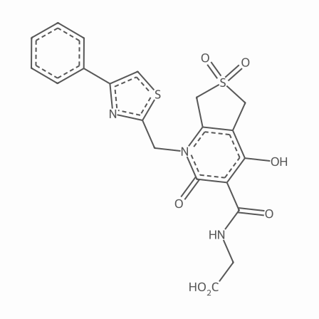 O=C(O)CNC(=O)c1c(O)c2c(n(Cc3nc(-c4ccccc4)cs3)c1=O)CS(=O)(=O)C2